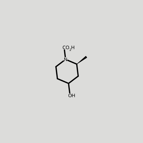 C[C@H]1CC(O)CCN1C(=O)O